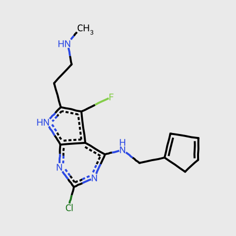 CNCCc1[nH]c2nc(Cl)nc(NCC3=CC=CC3)c2c1F